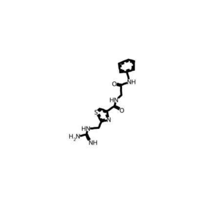 N=C(N)NCc1nc(C(=O)NCC(=O)Nc2ccccc2)cs1